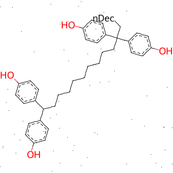 CCCCCCCCCCCC(CCCCCCCCCC(c1ccc(O)cc1)c1ccc(O)cc1)(c1ccc(O)cc1)c1ccc(O)cc1